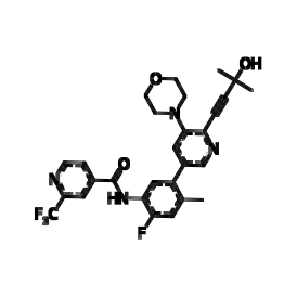 Cc1cc(F)c(NC(=O)c2ccnc(C(F)(F)F)c2)cc1-c1cnc(C#CC(C)(C)O)c(N2CCOCC2)c1